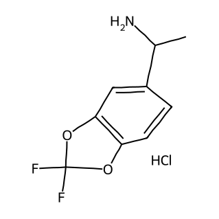 CC(N)c1ccc2c(c1)OC(F)(F)O2.Cl